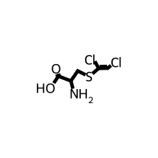 NC(CSC(Cl)=CCl)C(=O)O